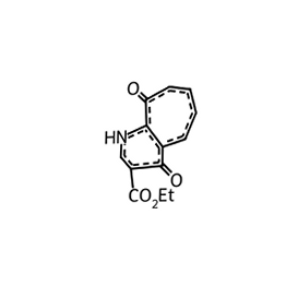 CCOC(=O)c1c[nH]c2c(=O)ccccc2c1=O